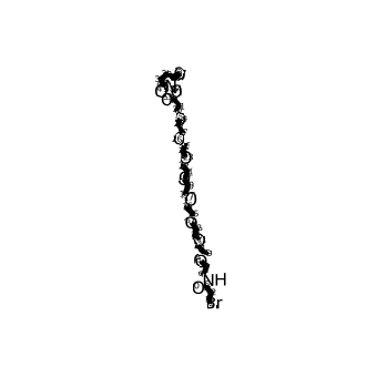 O=C(CCBr)NCCOCCOCCOCCOCCOCCOCCOCCOCCC(=O)ON1C(=O)CCC1=O